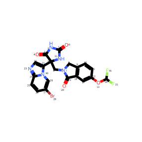 O=C1NC(=O)C(CN2Cc3ccc(OC(F)F)cc3C2=O)(c2cnc3ccc(Br)cn23)N1